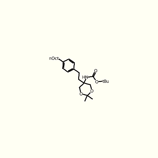 CCCCCCCCc1ccc(CCC2(NC(=O)OC(C)(C)C)COC(C)(C)OC2)cc1